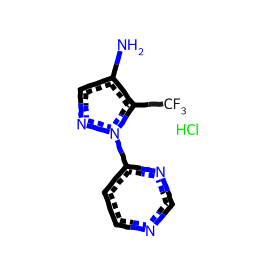 Cl.Nc1cnn(-c2ccncn2)c1C(F)(F)F